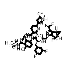 Cn1nc(NS(C)(=O)=O)c2c(Cl)ccc(-n3c([C@H](Cc4cc(F)cc(F)c4)NC(=O)Cn4nc(C(F)F)c5c4C(F)(F)[C@@H]4C[C@H]54)nc4nc(-c5cc(C(F)(F)F)[nH]n5)ccc4c3=O)c21